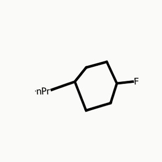 CC[CH]C1CCC(F)CC1